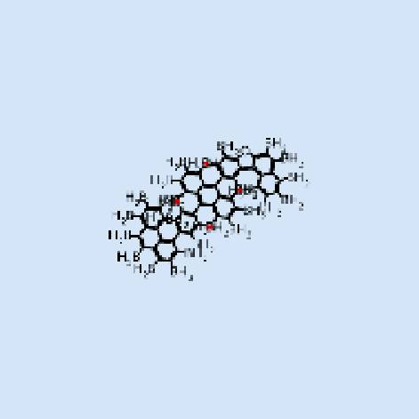 Bc1c(B)c(-c2c(B)c(B)c(B)c3c(B)c(B)c4c(B)c(B)c(B)c(B)c4c23)c(B)c(B)c1-c1c2c(B)c(B)c(B)c(B)c2c(-c2c(B)c(B)c3oc4c(B)c(B)c5c(B)c(B)c(B)c(B)c5c4c3c2B)c2c(B)c(B)c(B)c(B)c12